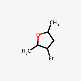 CCC1CC(C)OC1C